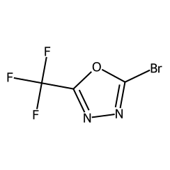 FC(F)(F)c1nnc(Br)o1